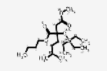 CCCCOC(=O)C(CCC(C)C)(CC(=O)OC)O[Si](CC)(CC)CC